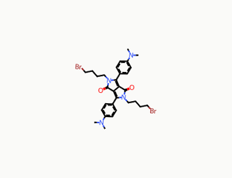 CN(C)c1ccc(C2=C3C(=O)N(CCCCBr)C(c4ccc(N(C)C)cc4)=C3C(=O)N2CCCCBr)cc1